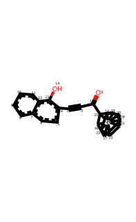 O=C(C#Cc1ccc2ccccc2c1O)[C]12[CH]3[CH]4[CH]5[CH]1[Fe]45321678[CH]2[CH]1[CH]6[CH]7[CH]28